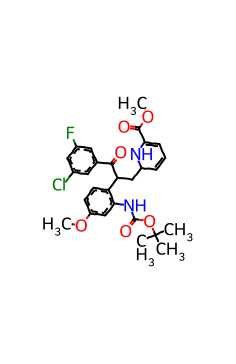 COC(=O)C1=CC=CC(CC(C(=O)c2cc(F)cc(Cl)c2)c2ccc(OC)cc2NC(=O)OC(C)(C)C)N1